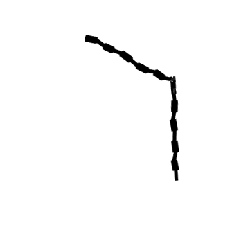 C#CC#CC#CC#CC#C/N=B/C#CC#CC#CC#CC